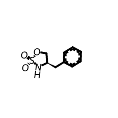 O=S1(=O)N[C@H](Cc2ccccc2)CO1